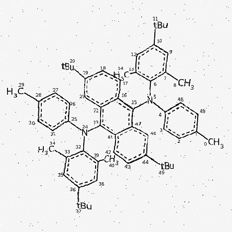 Cc1ccc(N(c2c(C)cc(C(C)(C)C)cc2C)c2c3ccc(C(C)(C)C)cc3c(N(c3ccc(C)cc3)c3c(C)cc(C(C)(C)C)cc3C)c3ccc(C(C)(C)C)cc23)cc1